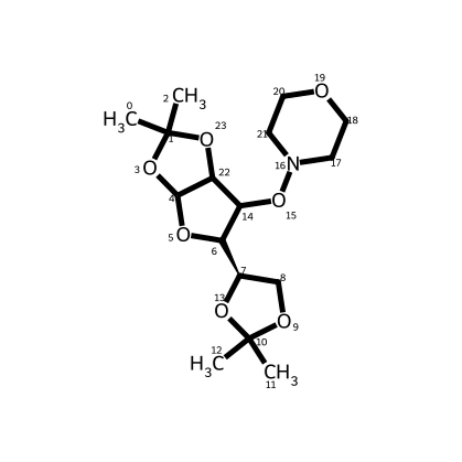 CC1(C)OC2OC([C@H]3COC(C)(C)O3)C(ON3CCOCC3)C2O1